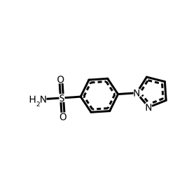 NS(=O)(=O)c1ccc(-n2cccn2)cc1